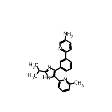 Cc1cccc(-c2[nH]c(C(C)C)nc2-c2cccc(-c3ccc(N)cn3)c2)n1